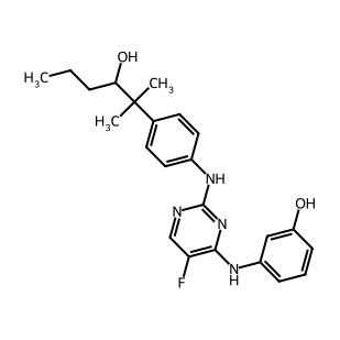 CCCC(O)C(C)(C)c1ccc(Nc2ncc(F)c(Nc3cccc(O)c3)n2)cc1